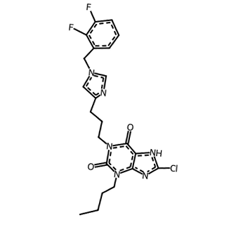 CCCCn1c(=O)n(CCCc2cn(Cc3cccc(F)c3F)cn2)c(=O)c2[nH]c(Cl)nc21